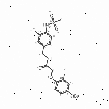 CC(C)(C)c1ccc(OCC(=O)NCc2ccc(NS(C)(=O)=O)c(F)c2)c(F)c1